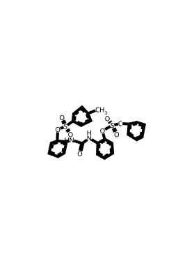 Cc1ccc(S(=O)(=O)Oc2ccccc2NC(=O)Nc2ccccc2OS(=O)(=O)Cc2ccccc2)cc1